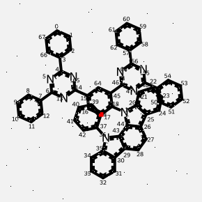 c1ccc(-c2nc(-c3ccccc3)nc(-c3ccc(-n4c5ccccc5c5ccc6c7ccccc7n(-c7ccccc7)c6c54)c(-c4nc(-c5ccccc5)nc(-c5ccccc5)n4)c3)n2)cc1